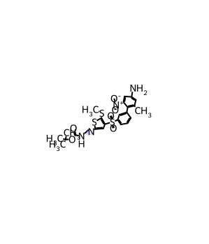 CSc1sc(/N=C/NC(=O)OC(C)(C)C)cc1S(=O)(=O)c1cccc(-c2c(C)cc(N)cc2[N+](=O)[O-])c1